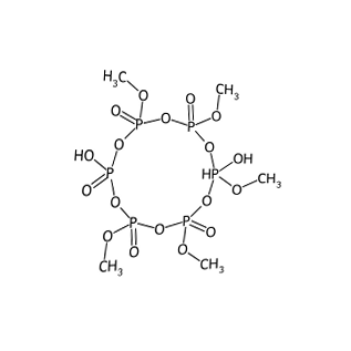 COP1(=O)OP(=O)(O)OP(=O)(OC)OP(=O)(OC)O[PH](O)(OC)OP(=O)(OC)O1